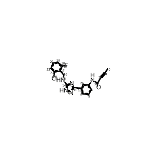 CC#CC(=O)Nc1cccc(-c2n[nH]c(NCc3c(F)cccc3Cl)n2)c1